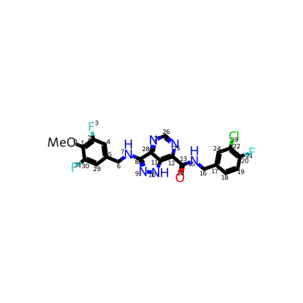 COc1c(F)cc(CNc2n[nH]c3c(C(=O)NCc4ccc(F)c(Cl)c4)ncnc23)cc1F